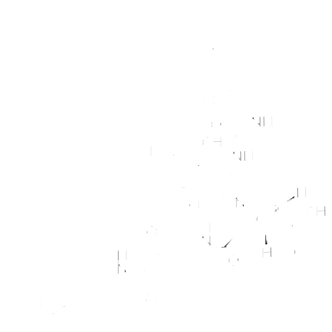 C=CCNC(=O)C(=O)CNC(=O)[C@@H]1[C@@H]2[C@H](CN1C(=O)[C@@H](NC(=O)N[C@H](C(=O)C1CC1)C1CCCCC1)C(C)(C)C)C2(C)C